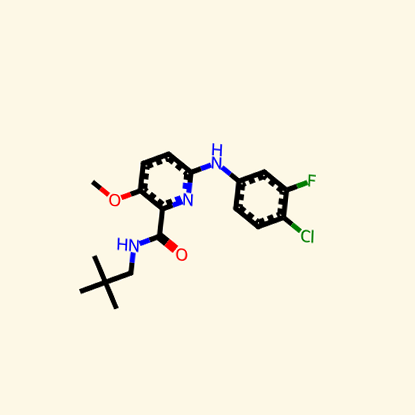 COc1ccc(Nc2ccc(Cl)c(F)c2)nc1C(=O)NCC(C)(C)C